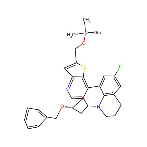 CC(C)(C)[Si](C)(C)OCc1cc2nccc(-c3cc(Cl)cc4c3N([C@H]3C[C@@H](OCc5ccccc5)C3)CCC4)c2s1